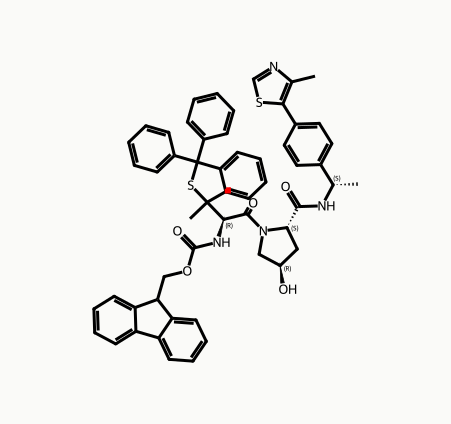 Cc1ncsc1-c1ccc([C@H](C)NC(=O)[C@@H]2C[C@@H](O)CN2C(=O)[C@@H](NC(=O)OCC2c3ccccc3-c3ccccc32)C(C)(C)SC(c2ccccc2)(c2ccccc2)c2ccccc2)cc1